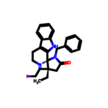 CC[C@]1(CCI)CC(=O)N(Cc2ccccc2)[C@@]12NCCc1c2[nH]c2ccccc12